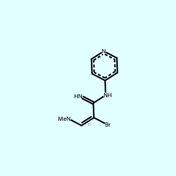 CN/C=C(/Br)C(=N)Nc1ccncc1